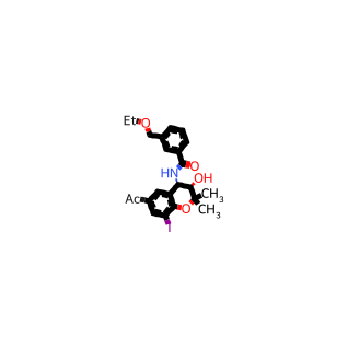 CCOCc1cccc(C(=O)N[C@H]2c3cc(C(C)=O)cc(I)c3OC(C)(C)[C@@H]2O)c1